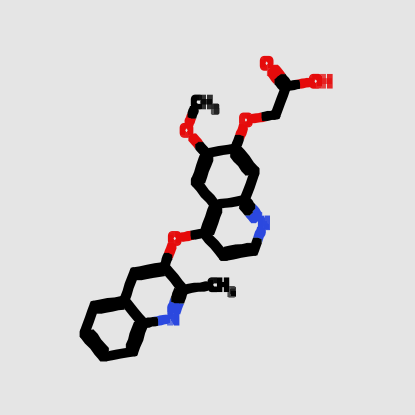 COc1cc2c(Oc3cc4ccccc4nc3C)ccnc2cc1OCC(=O)O